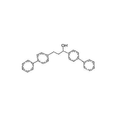 OC(CCc1ccc(-c2ccccc2)cc1)c1ccc(-c2ccccc2)cc1